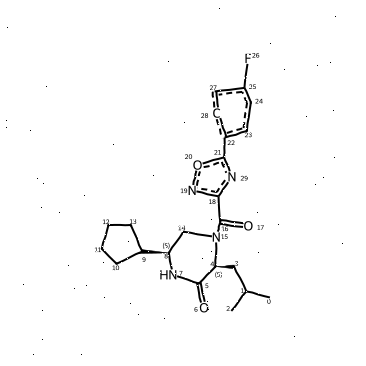 CC(C)C[C@H]1C(=O)N[C@@H](C2CCCC2)CN1C(=O)c1noc(-c2ccc(F)cc2)n1